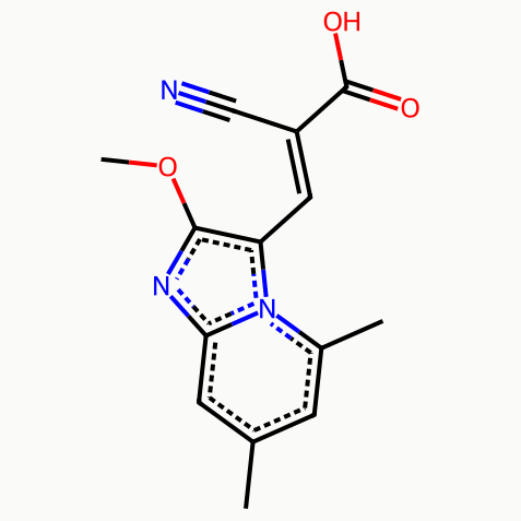 COc1nc2cc(C)cc(C)n2c1C=C(C#N)C(=O)O